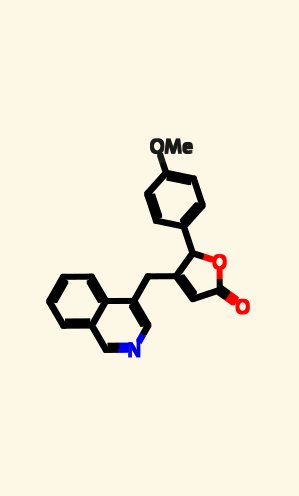 COc1ccc(C2OC(=O)C=C2Cc2cncc3ccccc23)cc1